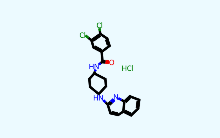 Cl.O=C(NC1CCC(Nc2ccc3ccccc3n2)CC1)c1ccc(Cl)c(Cl)c1